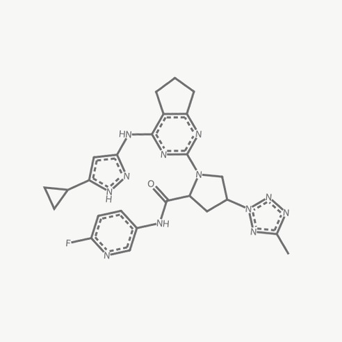 Cc1nnn(C2CC(C(=O)Nc3ccc(F)nc3)N(c3nc4c(c(Nc5cc(C6CC6)[nH]n5)n3)CCC4)C2)n1